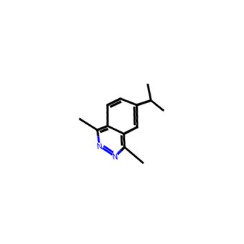 Cc1nnc(C)c2cc(C(C)C)ccc12